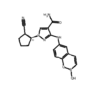 N#CC1CCC[C@@H]1n1cc(C(N)=O)c(Nc2ccc3c(c2)C=CB(O)O3)n1